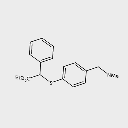 CCOC(=O)C(Sc1ccc(CNC)cc1)c1ccccc1